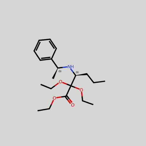 CCC[C@H](N[C@@H](C)c1ccccc1)C(OCC)(OCC)C(=O)OCC